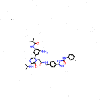 CC(C)Nc1ncc(-c2cc(N)cc(NC(=O)C(C)C)c2)n(CC(=O)NCc2ccc(C(=N)NC(=O)Nc3ccccc3)cc2)c1=O